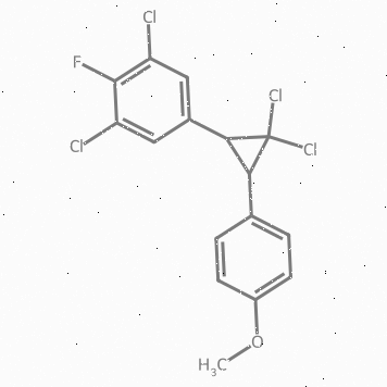 COc1ccc(C2C(c3cc(Cl)c(F)c(Cl)c3)C2(Cl)Cl)cc1